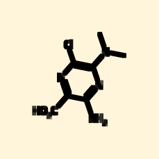 CN(C)c1nc(N)c(C(=O)O)nc1Cl